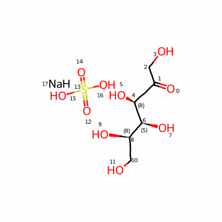 O=C(CO)[C@H](O)[C@@H](O)[C@H](O)CO.O=S(=O)(O)O.[NaH]